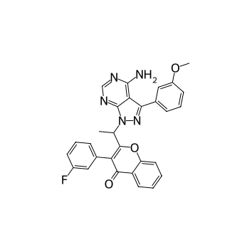 COc1cccc(-c2nn(C(C)c3oc4ccccc4c(=O)c3-c3cccc(F)c3)c3ncnc(N)c23)c1